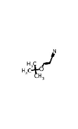 CC(C)(C)O/C=C/C#N